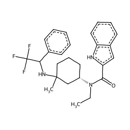 CCN(C(=O)c1cc2ccccc2[nH]1)[C@H]1CCCC(C)(NC(c2ccccc2)C(F)(F)F)C1